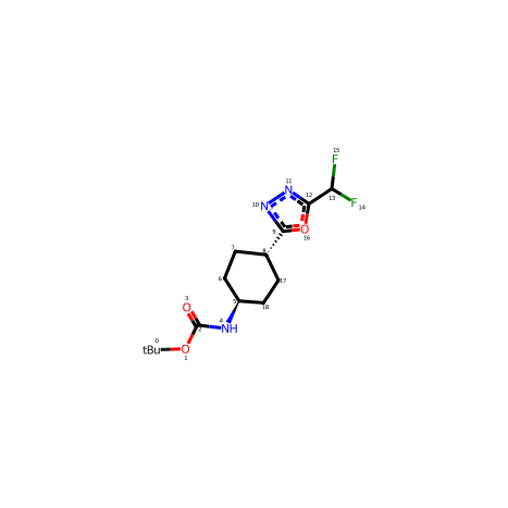 CC(C)(C)OC(=O)N[C@H]1CC[C@H](c2nnc(C(F)F)o2)CC1